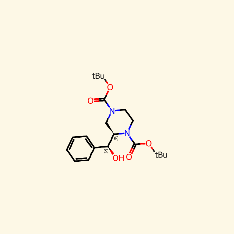 CC(C)(C)OC(=O)N1CCN(C(=O)OC(C)(C)C)[C@@H]([C@@H](O)c2ccccc2)C1